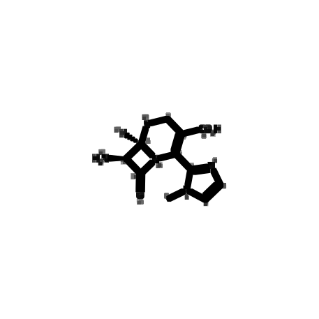 Cn1ccnc1C1=C(C(=O)O)CS[C@@H]2[C@H](N)C(=O)N12